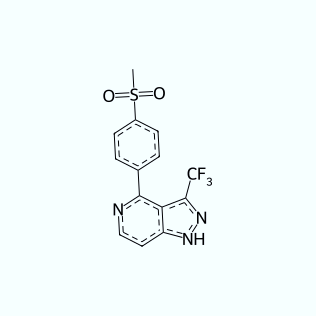 CS(=O)(=O)c1ccc(-c2nccc3[nH]nc(C(F)(F)F)c23)cc1